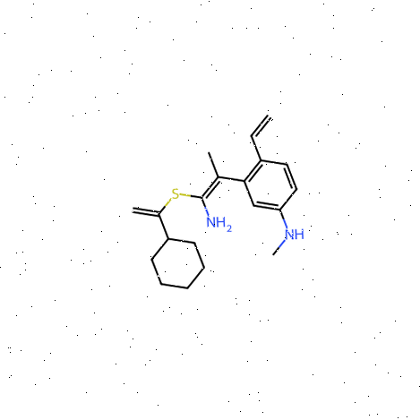 C=Cc1ccc(NC)cc1/C(C)=C(\N)SC(=C)C1CCCCC1